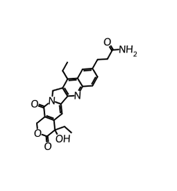 CCc1c2c(nc3ccc(CCC(N)=O)cc13)-c1cc3c(c(=O)n1C2)COC(=O)C3(O)CC